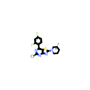 C[C@@H]1CCCN(c2nc3nc(Cl)nc(-c4ccc(F)cc4F)c3s2)C1